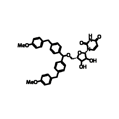 COc1ccc(Cc2ccc(C(OC[C@@H]3O[C@H](n4ccc(=O)[nH]c4=O)C(O)C3O)c3ccc(Cc4ccc(OC)cc4)cc3)cc2)cc1